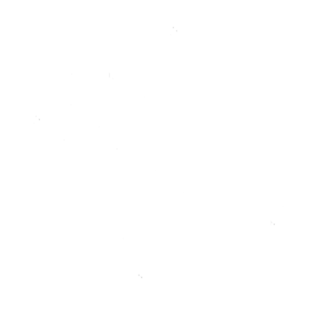 Cc1cc(C(c2ccc3cc(C(c4cc(C)c(ON)c(C)c4C)c4cc(C)c(ON)c(C)c4C)ccc3c2)c2cc(C)c(N=O)c(C)c2C)c(C)c(C)c1N=O